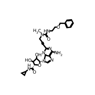 CN(CC#Cc1nc(N)c2ncn([C@@H]3O[C@H](C(=O)NC4CC4)C(O)C3O)c2n1)C(=O)NCCOCc1ccccc1